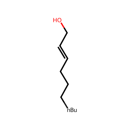 CCCCCCCC=CCO